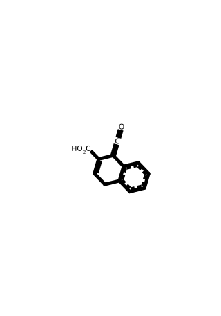 O=C=C1C(C(=O)O)=CCc2ccccc21